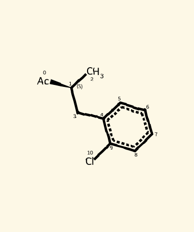 CC(=O)[C@@H](C)Cc1ccccc1Cl